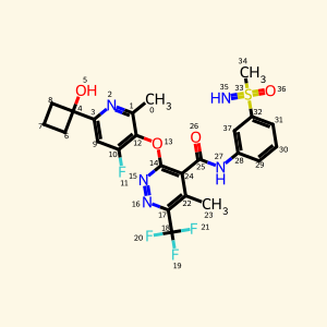 Cc1nc(C2(O)CCC2)cc(F)c1Oc1nnc(C(F)(F)F)c(C)c1C(=O)Nc1cccc(S(C)(=N)=O)c1